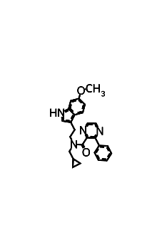 COc1ccc2c(CCN(CC3CC3)C(=O)c3nccnc3-c3ccccc3)c[nH]c2c1